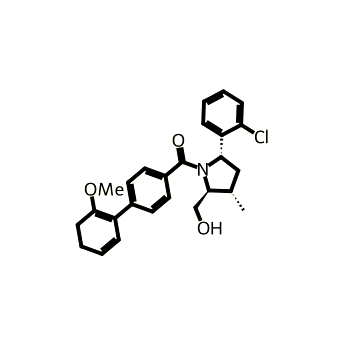 COC1=C(c2ccc(C(=O)N3[C@H](CO)[C@@H](C)C[C@H]3c3ccccc3Cl)cc2)C=CCC1